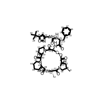 C[C@@H]1C[C@H]2C(=O)OC[C@H](NC(=O)[C@H](Cc3ccccc3)NC(=O)Nc3cc(C(C)(C)C)on3)C(=O)N3CCC[C@H]3C(=O)N3CCCC[C@H]3C(=O)N[C@@H](C)C(=O)N2C1